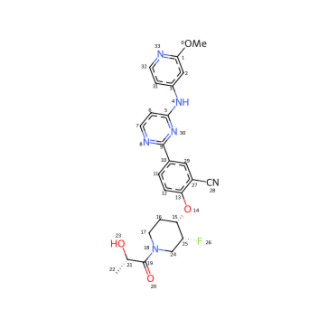 COc1cc(Nc2ccnc(-c3ccc(O[C@H]4CCN(C(=O)[C@H](C)O)C[C@H]4F)c(C#N)c3)n2)ccn1